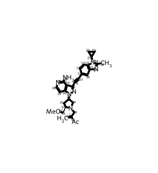 C=C(CN1CC(n2nc(C#Cc3ccc4c(c3)nc(C)n4C3CC3)c3c(N)nccc32)C[C@@H]1COC)C(C)=O